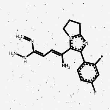 C=N/C(=C\C=C(/N)c1c(-c2ccc(F)cc2F)nc2n1CCC2)NN